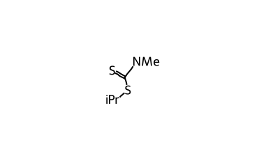 CNC(=S)SC(C)C